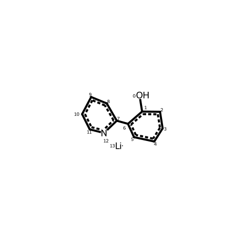 Oc1ccccc1-c1ccccn1.[Li]